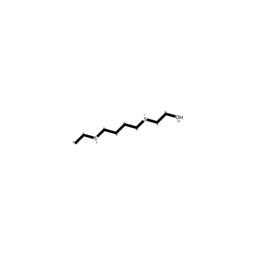 CCSCCCCSCCO